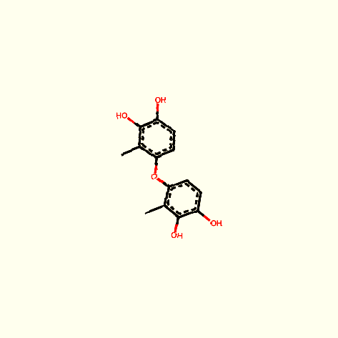 Cc1c(Oc2ccc(O)c(O)c2C)ccc(O)c1O